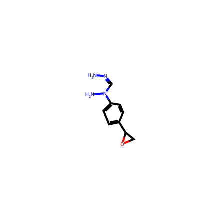 N/N=C\N(N)c1ccc(C2CO2)cc1